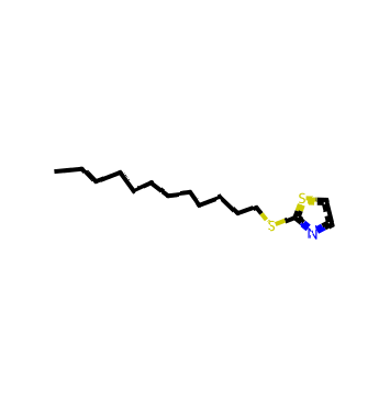 CCCCCCCCCCCCSc1nccs1